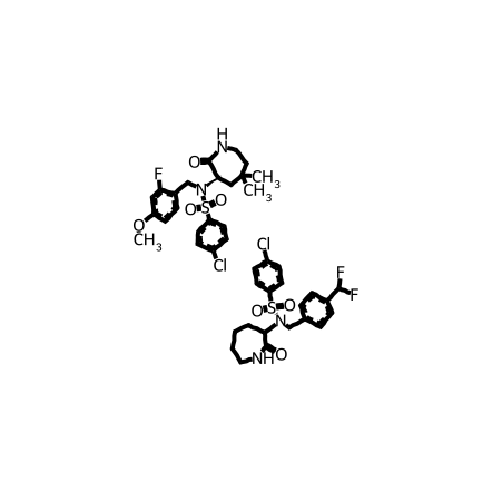 COc1ccc(CN([C@@H]2CC(C)(C)CCNC2=O)S(=O)(=O)c2ccc(Cl)cc2)c(F)c1.O=C1NCCCCC1N(Cc1ccc(C(F)F)cc1)S(=O)(=O)c1ccc(Cl)cc1